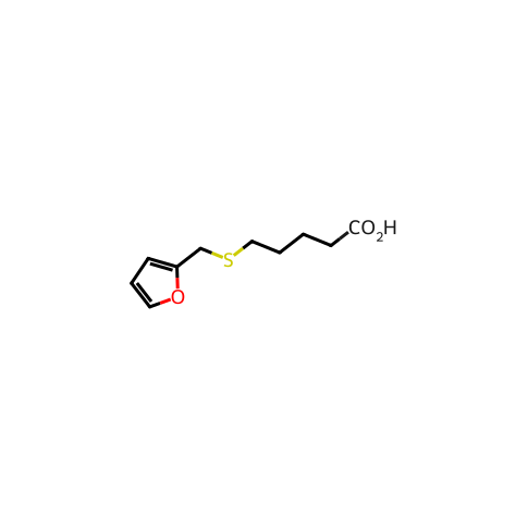 O=C(O)CCCCSCc1ccco1